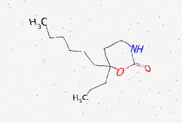 CCCCCCC1(CCC)CCNC(=O)O1